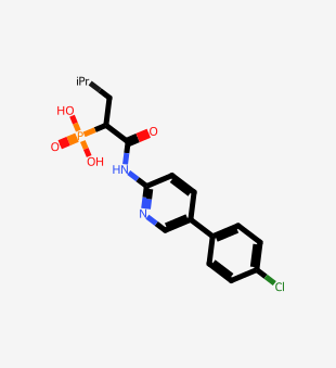 CC(C)CC(C(=O)Nc1ccc(-c2ccc(Cl)cc2)cn1)P(=O)(O)O